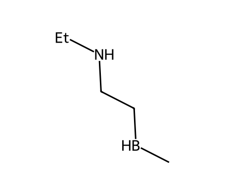 CBCCNCC